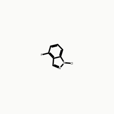 Fc1cccc2c1cnn2Cl